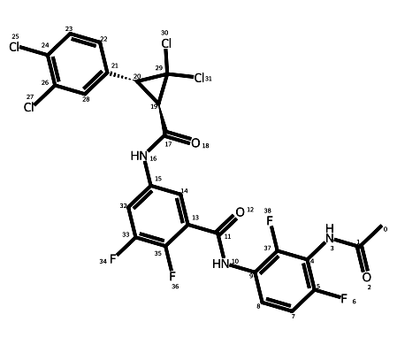 CC(=O)Nc1c(F)ccc(NC(=O)c2cc(NC(=O)[C@H]3[C@H](c4ccc(Cl)c(Cl)c4)C3(Cl)Cl)cc(F)c2F)c1F